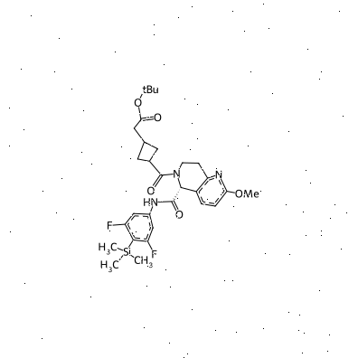 COc1ccc2c(n1)CCN(C(=O)C1CC(CC(=O)OC(C)(C)C)C1)[C@H]2C(=O)Nc1cc(F)c([Si](C)(C)C)c(F)c1